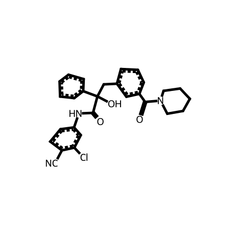 N#Cc1ccc(NC(=O)C(O)(Cc2cccc(C(=O)N3CCCCC3)c2)c2ccccc2)cc1Cl